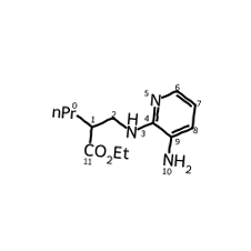 CCCC(CNc1ncccc1N)C(=O)OCC